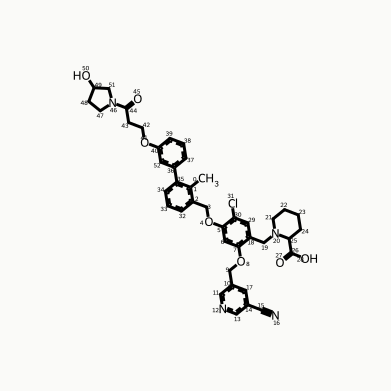 Cc1c(COc2cc(OCc3cncc(C#N)c3)c(CN3CCCCC3C(=O)O)cc2Cl)cccc1-c1cccc(OCCC(=O)N2CCC(O)C2)c1